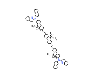 CC1(C)c2cc(/C=C/c3ccc4c(c3)C(C)(C)c3cc(N(c5ccc6ccccc6c5)c5ccc6ccccc6n5)ccc3-4)ccc2-c2ccc(/C=C/c3ccc4c(c3)C(C)(C)c3cc(N(c5ccc6ccccc6c5)c5ccc6ccccc6n5)ccc3-4)cc21